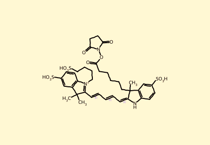 CC1(C)C(/C=C/C=C/C=C2/Nc3ccc(S(=O)(=O)O)cc3C2(C)CCCCCC(=O)ON2C(=O)CCC2=O)=[N+](CCCCS(=O)(=O)O)c2ccc(S(=O)(=O)O)cc21